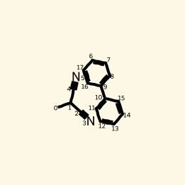 CC(C#N)C#N.c1ccc(-c2ccccc2)cc1